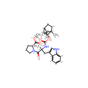 COC(=O)[C@@H]1CCCN1C(=O)[C@@](C)(Cc1c[nH]c2ccccc12)NC(=O)OC1CC2CCC1(C)C2(C)C